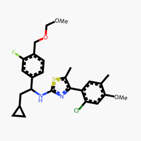 COCOCc1ccc(C(CC2CC2)Nc2nc(-c3cc(C)c(OC)cc3Cl)c(C)s2)cc1F